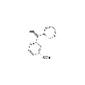 COc1cccc(C(=N)c2ccccc2)c1